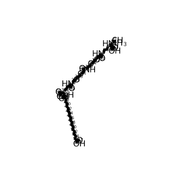 CNN[C@@H](CCCCNC(=O)COCCOCCNC(=O)COCCOCCNC(=O)CCC[C@H](NC(=O)CCCCCCCCCCCCCCCCCCC(=O)O)C(=O)O)C(=O)O